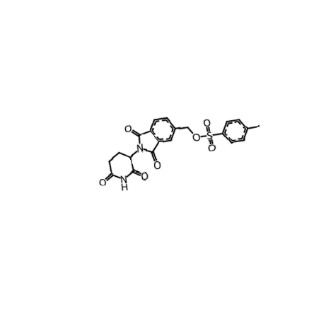 Cc1ccc(S(=O)(=O)OCc2ccc3c(c2)C(=O)N(C2CCC(=O)NC2=O)C3=O)cc1